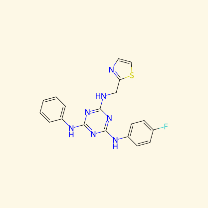 Fc1ccc(Nc2nc(NCc3nccs3)nc(Nc3ccccc3)n2)cc1